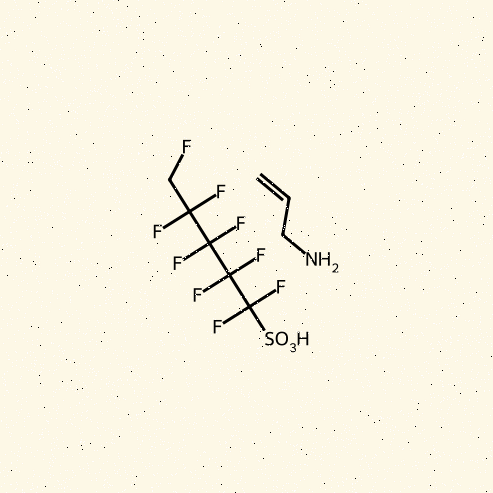 C=CCN.O=S(=O)(O)C(F)(F)C(F)(F)C(F)(F)C(F)(F)CF